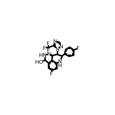 OC1NN=C2c3c(cc(F)cc31)NC(c1ccc(F)cc1)C2n1ncnc1C(F)(F)F